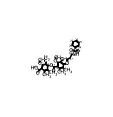 COc1c(C)c(OC(=O)c2c(C)c(C)c(OCCCNS(=O)(=O)c3ccccc3)c(C)c2OC)c(C)c(C)c1C(=O)O